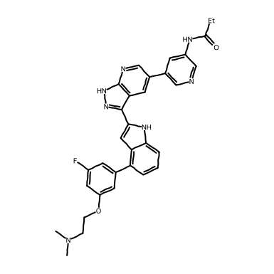 CCC(=O)Nc1cncc(-c2cnc3[nH]nc(-c4cc5c(-c6cc(F)cc(OCCN(C)C)c6)cccc5[nH]4)c3c2)c1